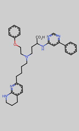 O=C(O)C(CCN(CCCCc1ccc2c(n1)NCCC2)CCOc1ccccc1)Nc1cc(-c2ccccc2)ncn1